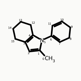 Cc1cc2c(n1C1=CCCC=C1)CCCC2